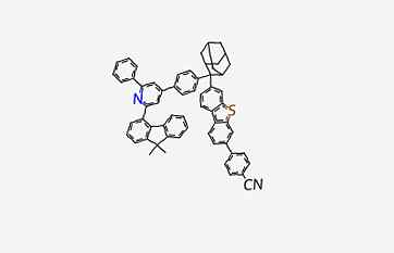 CC1(C)c2ccccc2-c2c(-c3cc(-c4ccc(C5(c6ccc7c(c6)sc6cc(-c8ccc(C#N)cc8)ccc67)C6CC7CC(C6)CC5C7)cc4)cc(-c4ccccc4)n3)cccc21